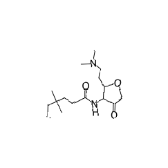 [CH2]CC(C)(C)CCC(=O)NC1C(=O)COC1CCN(C)C